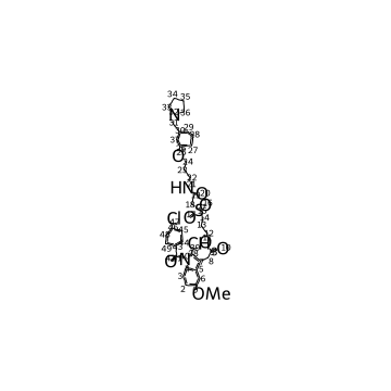 COc1ccc2c(c1)c(CC(=O)OCCCS(=O)(=O)CC(=O)NCCCOc1cccc(CN3CCCC3)c1)c(C)n2C(=O)c1ccc(Cl)cc1